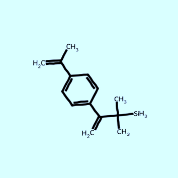 C=C(C)c1ccc(C(=C)C(C)(C)[SiH3])cc1